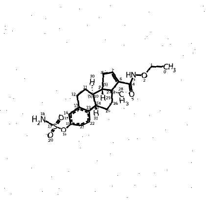 CCONC(=O)C1=CC[C@H]2[C@@H]3CCc4cc(OS(N)(=O)=O)ccc4[C@H]3CC[C@]12C